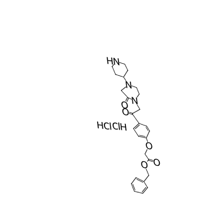 Cl.Cl.O=C(COc1ccc(C(=O)CN2CCN(C3CCNCC3)CC2=O)cc1)OCc1ccccc1